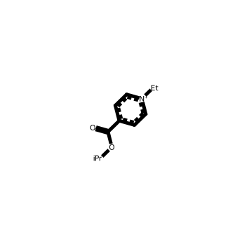 CC[n+]1ccc(C(=O)OC(C)C)cc1